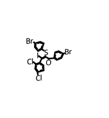 O=C(C(Sc1ccc(Br)cc1)=C(I)c1ccc(Cl)cc1Cl)c1ccc(Br)cc1